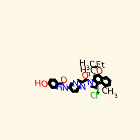 CCC(C)(C)Oc1cc2c(c3c(C)cccc13)[C@H](CCl)CN2C(=O)c1cn2cc(NC(=O)c3ccc(O)cc3)ccc2n1